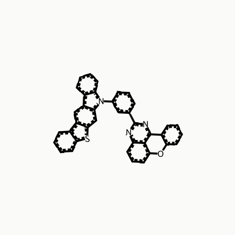 c1cc(-c2nc3c4c(cccc4n2)Oc2ccccc2-3)cc(-n2c3ccccc3c3cc4c(cc32)sc2ccccc24)c1